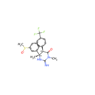 CN1C(=N)N[C@](C)(c2cccc([S+](C)[O-])c2)[C@@H](c2ccc(C(F)(F)F)cc2)C1=O